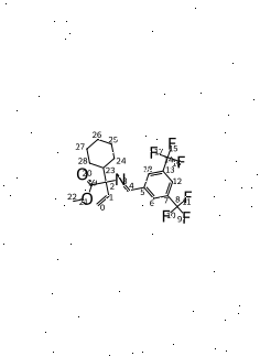 C=CC(N=Cc1cc(C(F)(F)F)cc(C(F)(F)F)c1)(C(=O)OC)C1CCCCC1